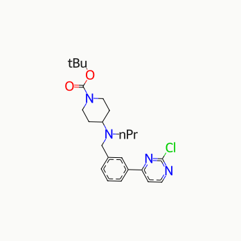 CCCN(Cc1cccc(-c2ccnc(Cl)n2)c1)C1CCN(C(=O)OC(C)(C)C)CC1